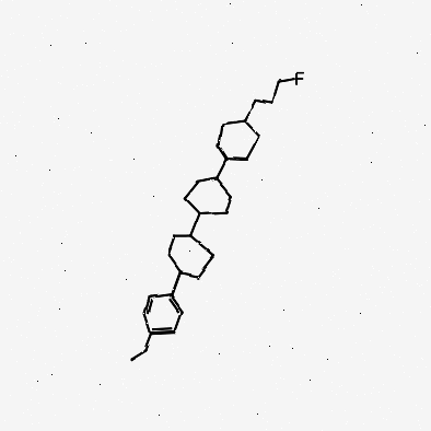 CCc1ccc(C2CCC(C3CCC(C4CCC(CCCF)CC4)CC3)CC2)cc1